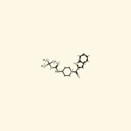 CC(C)(C)OC(=O)NC1CCN(C(=O)c2cc3ccccc3o2)CC1